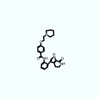 O=C(Nc1ccccc1-c1c[nH]c2c1CCNC2=O)c1ccc(OCCN2CCCCC2)cc1